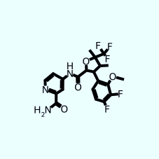 COc1c(C2C(C(=O)Nc3ccnc(C(N)=O)c3)OC(C)(C(F)(F)F)C2C)ccc(F)c1F